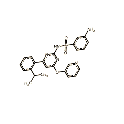 CC(C)c1ccccc1-c1cc(Oc2cccnc2)nc(NS(=O)(=O)c2cccc(N)c2)n1